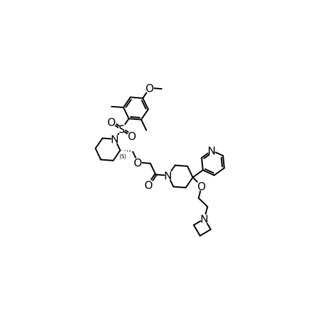 COc1cc(C)c(S(=O)(=O)N2CCCC[C@H]2COCC(=O)N2CCC(OCCN3CCC3)(c3cccnc3)CC2)c(C)c1